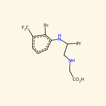 CC(=O)c1c(NC(CNCC(=O)O)C(C)C)cccc1C(F)(F)F